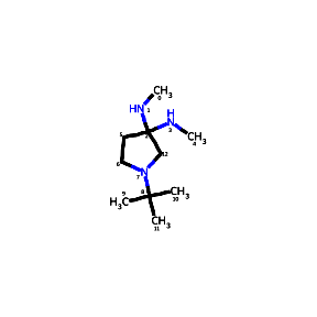 CNC1(NC)CCN(C(C)(C)C)C1